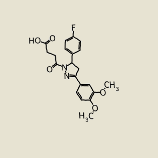 COc1ccc(C2=NN(C(=O)CCC(=O)O)C(c3ccc(F)cc3)C2)cc1OC